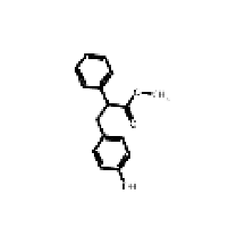 COC(=O)C(Cc1ccc(O)cc1)c1ccccc1